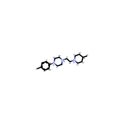 Cc1ccc(N2CCN(CCN3CCC(C)CC3)CC2)cc1